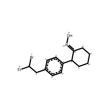 CCC(Br)Cc1ccc(C2CCCCC2=NO)cc1